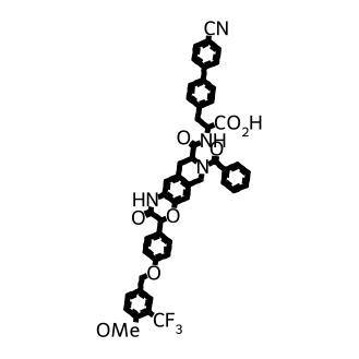 COc1ccc(COc2ccc(C3Oc4cc5c(cc4NC3=O)CC(C(=O)NC(Cc3ccc(-c4ccc(C#N)cc4)cc3)C(=O)O)N(C(=O)c3ccccc3)C5)cc2)cc1C(F)(F)F